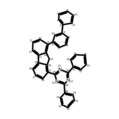 c1ccc(-c2cccc(-c3cccc4c3Cc3c(-c5nc(-c6ccccc6)nc(-c6ccccc6)n5)cccc3-4)c2)cc1